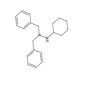 c1ccc(CN(Cc2ccccc2)NC2CCCCC2)cc1